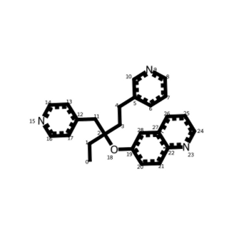 CCC(CCc1cccnc1)(Cc1ccncc1)Oc1ccc2ncccc2c1